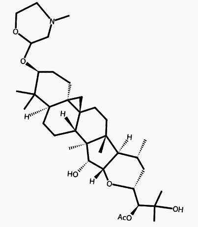 CC(=O)O[C@@H]([C@H]1C[C@@H](C)[C@H]2[C@H](O1)[C@H](O)[C@@]1(C)[C@@H]3CC[C@H]4C(C)(C)[C@@H](OC5CN(C)CCO5)CC[C@@]45C[C@@]35CC[C@]21C)C(C)(C)O